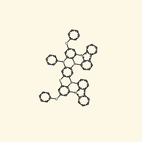 c1ccc(Oc2cc3c4c(c2)-n2c5ccccc5c5cccc(c52)B4c2cc4c(cc2S3)N(c2ccccc2)c2cc(Oc3ccccc3)cc3c2B4c2cccc4c5ccccc5n-3c24)cc1